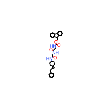 O=C(CNC(=O)OCC1c2ccccc2-c2ccccc21)NCC(=O)NC1CCC2(CC1)CC2Cc1ccccc1